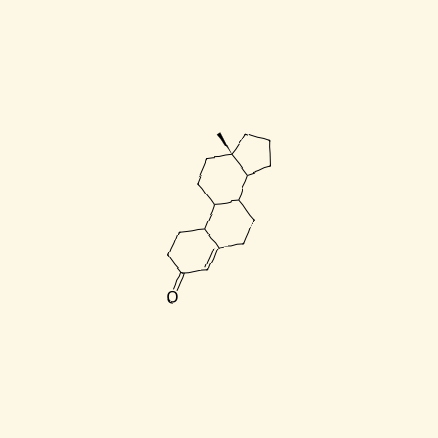 C[C@@]12CCCC1C1CCC3=CC(=O)CCC3C1CC2